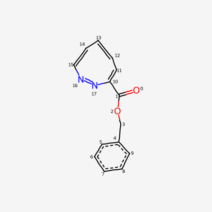 O=C(OCc1ccccc1)C1=CC=CC=CN=N1